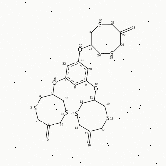 C=C1CSCC(Oc2cc(OC3CSCC(=C)CSC3)cc(OC3CSCC(=C)CSC3)c2)CSC1